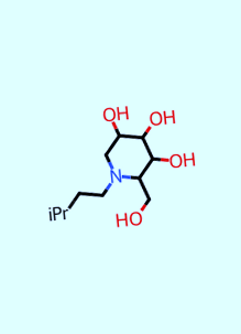 CC(C)CCN1CC(O)C(O)C(O)C1CO